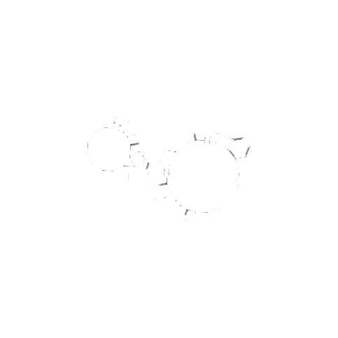 C[C@H]1CCCCc2cccc3c2CN(C3)C(=O)O[C@@H]2C[C@@H](C(=O)N[C@]34C[C@H]3CCCCCCCS(=O)(=O)NC4=O)N(C2)C(=O)[C@H](C(C)(C)C)NC(=O)OC1